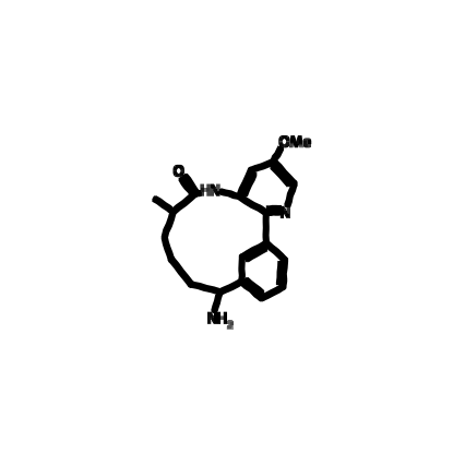 COc1cnc2c(c1)NC(=O)C(C)CCCC(N)c1cccc-2c1